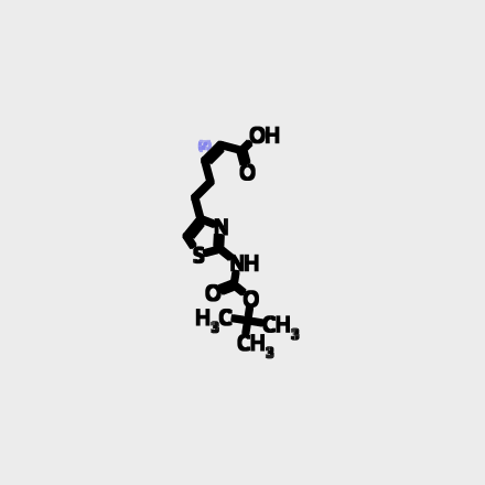 CC(C)(C)OC(=O)Nc1nc(CC/C=C\C(=O)O)cs1